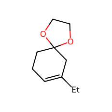 CCC1=CCCC2(C1)OCCO2